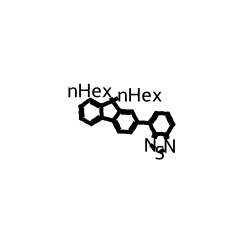 CCCCCCC1(CCCCCC)c2ccccc2-c2ccc(-c3cccc4nsnc34)cc21